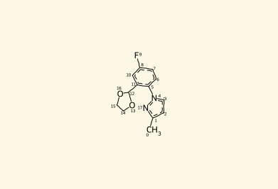 Cc1c[c]n(-c2ccc(F)cc2C2OCCO2)n1